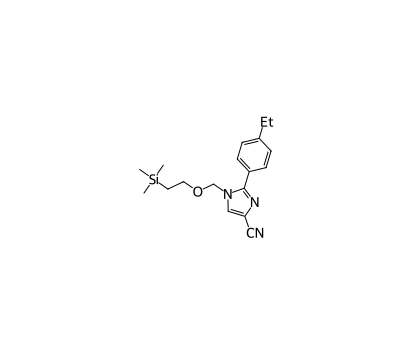 CCc1ccc(-c2nc(C#N)cn2COCC[Si](C)(C)C)cc1